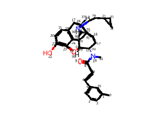 Cc1cccc(C=CC(=O)N(C)[C@H]2CC[C@H]3[C@H]4Cc5ccc(O)c6c5[C@@]3(CCN4CC3CC3)[C@H]2O6)c1